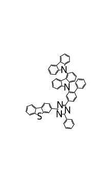 c1ccc(-c2nc(-c3ccc(-c4ccccc4)c(-n4c5ccccc5c5c(-n6c7ccccc7c7ccccc76)cccc54)c3)nc(-c3ccc4c(c3)sc3ccccc34)n2)cc1